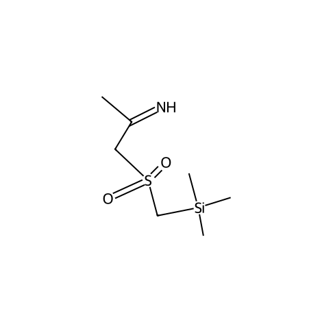 CC(=N)CS(=O)(=O)C[Si](C)(C)C